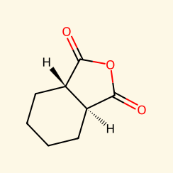 O=C1OC(=O)[C@H]2CCCC[C@H]12